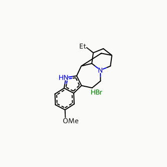 Br.CCC1CC2CC3c4[nH]c5ccc(OC)cc5c4CCN(C2)C13